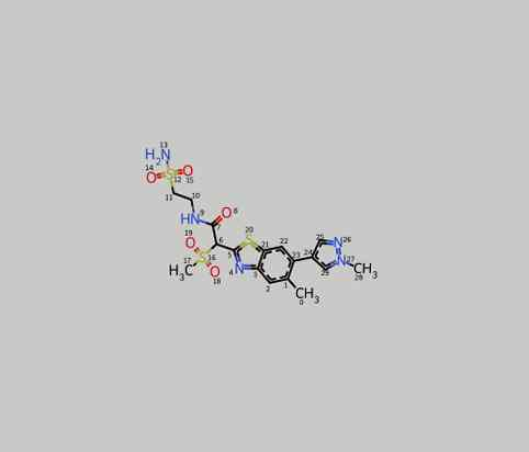 Cc1cc2nc(C(C(=O)NCCS(N)(=O)=O)S(C)(=O)=O)sc2cc1-c1cnn(C)c1